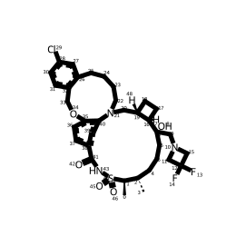 C[C@@H]1[C@@H](C)CCC[C@@](O)(CN2CC(F)(F)C2)[C@@H]2CC[C@H]2CN2CCCCc3cc(Cl)ccc3COc3ccc(cc32)C(=O)NS1(=O)=O